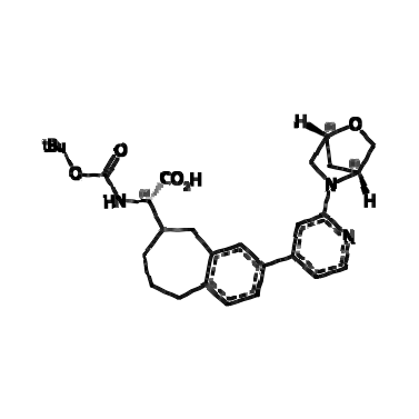 CC(C)(C)OC(=O)N[C@H](C(=O)O)C1CCCc2ccc(-c3ccnc(N4C[C@H]5C[C@@H]4CO5)c3)cc2C1